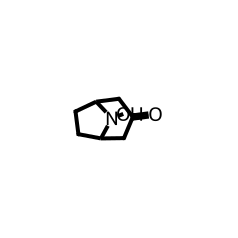 O=C1CC2CCC(C1)N2O